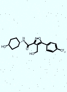 O=C(N[C@H]1CC[C@H](O)CC1)c1noc(-c2ccc(C(F)(F)F)cc2)c1CO